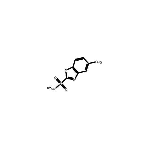 CCCCCS(=O)(=O)c1nc2cc([C]=O)ccc2s1